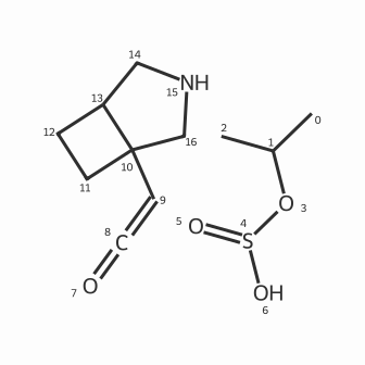 CC(C)OS(=O)O.O=C=CC12CCC1CNC2